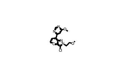 COCCn1nc2c(-c3cc(OC)ncn3)cccc2c1Cl